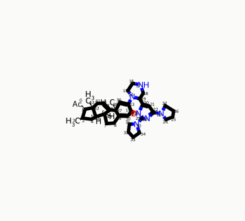 CC(=O)[C@H]1[C@H](C)C[C@H]2[C@@H]3CCC4=CC(=O)C(N5CCNCC5c5cc(N6CCCC6)nc(N6CCCC6)n5)=C[C@]4(C)C3=CC[C@@]21C